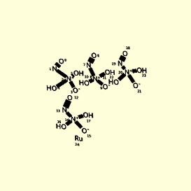 O=N[N+]([O-])(O)O.O=N[N+]([O-])(O)O.O=N[N+]([O-])(O)O.O=N[N+]([O-])(O)O.[Ru]